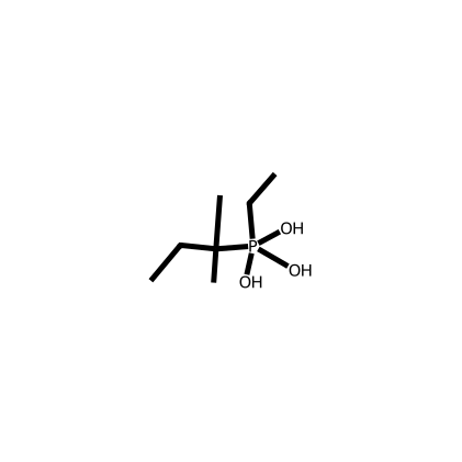 CCC(C)(C)P(O)(O)(O)CC